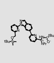 CCC[C@H](N[S+]([O-])C(C)(C)C)c1cccc(-c2c[c]c3cnn(-c4cccc(CO[Si](C)(C)C(C)(C)C)n4)c3c2)n1